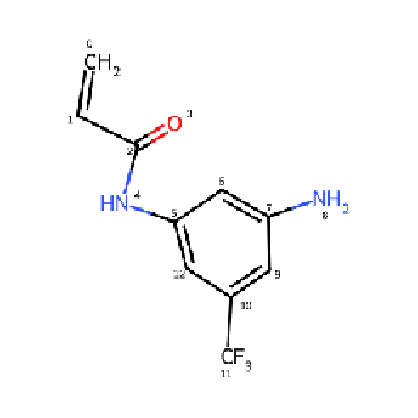 C=CC(=O)Nc1cc(N)cc(C(F)(F)F)c1